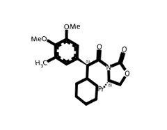 COc1cc([C@@H](C(=O)N2C(=O)OC[C@@H]2C(C)C)C2CCCCC2)cc(C)c1OC